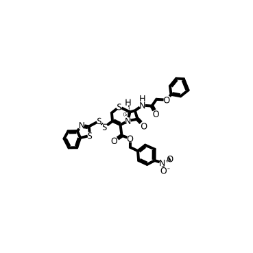 O=C(COc1ccccc1)NC1C(=O)N2C(C(=O)OCc3ccc([N+](=O)[O-])cc3)=C(SSc3nc4ccccc4s3)CS[C@@H]12